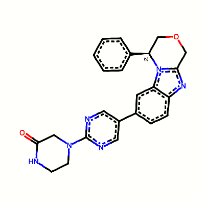 O=C1CN(c2ncc(-c3ccc4nc5n(c4c3)[C@@H](c3ccccc3)COC5)cn2)CCN1